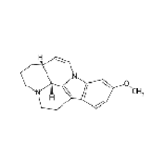 COc1ccc2c3c4n(c2c1)C=C[C@H]1CCCN(CC3)[C@@H]41